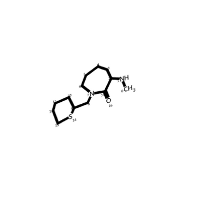 CNC1CCCCN(CC2CCCCS2)C1=O